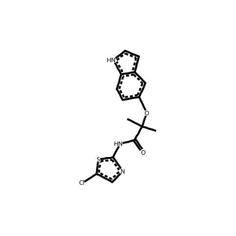 CC(C)(Oc1ccc2[nH]ccc2c1)C(=O)Nc1ncc(Cl)s1